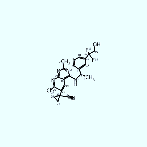 Cc1nc(N[C@H](C)c2cccc(C(F)(F)CO)c2)c2cc(C3(C#N)CC3)c(Cl)nc2n1